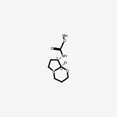 CC(C)(C)OC(=O)N[C@H]1CCN2CCCO[C@H]12